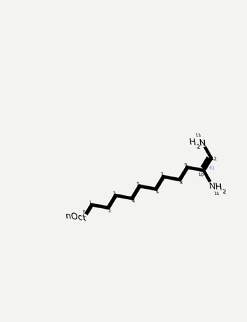 CCCCCCCCCCCCCCCCC/C(N)=C\N